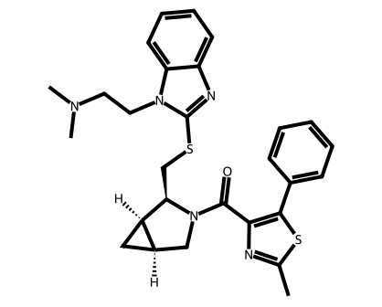 Cc1nc(C(=O)N2C[C@H]3C[C@H]3[C@H]2CSc2nc3ccccc3n2CCN(C)C)c(-c2ccccc2)s1